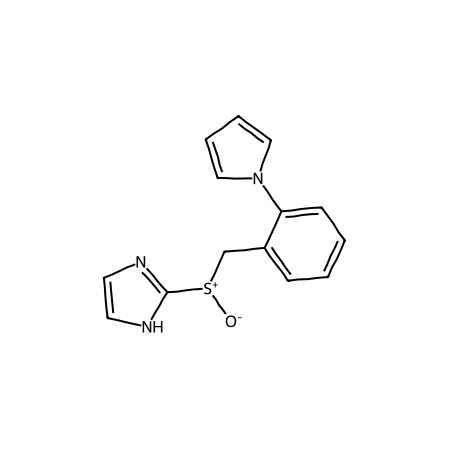 [O-][S+](Cc1ccccc1-n1cccc1)c1ncc[nH]1